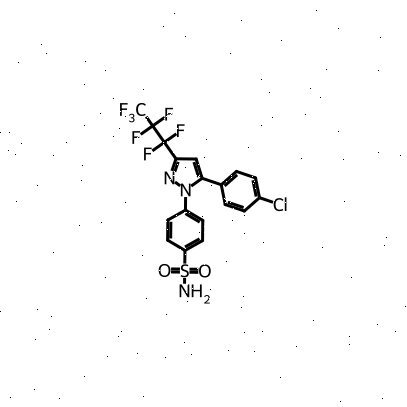 NS(=O)(=O)c1ccc(-n2nc(C(F)(F)C(F)(F)C(F)(F)F)cc2-c2ccc(Cl)cc2)cc1